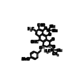 COc1ccc(CO[C@H]2C[C@H](O[Si](C)(C)C(C)(C)C)C(=O)c3c2c(C=O)c2cc(C)c(C=O)c4c2c3O[Si](C(C)(C)C)(C(C)(C)C)O4)cc1